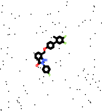 Cc1cc(F)c(F)cc1-c1ccc(OCc2cccc3c(=O)n(-c4ccc(F)cc4)[nH]c23)cc1